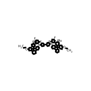 C=CCOc1ccc(C2(c3ccc(C(C)(C)C)cc3)c3ccccc3-c3ccc(N(c4ccc(-c5ccc(N(c6ccc7c(c6)C(c6ccc(OCC=C)cc6)(c6ccc(C(C)(C)C)cc6)c6ccccc6-7)c6ccc(F)cc6F)cc5)cc4)c4ccc(F)cc4F)cc32)cc1